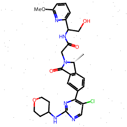 COc1cccc(C(CO)NC(=O)CN2C(=O)c3cc(-c4nc(NC5CCOCC5)ncc4Cl)ccc3[C@H]2C)n1